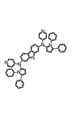 c1ccc(-c2ccc(N(c3ccncc3)c3ccc4c(c3)sc3cc(N(c5ccncc5)c5ccc(-c6ccccc6)n5-c5ccccc5)ccc34)n2-c2ccccc2)cc1